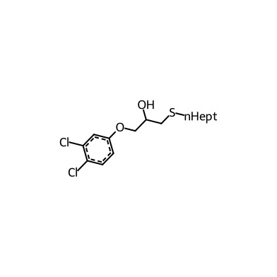 CCCCCCCSCC(O)COc1ccc(Cl)c(Cl)c1